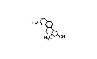 CC12CCc3c(ccc4ccc(O)cc34)C1C[C@@H](O)C2